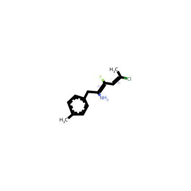 C/C(Cl)=C\C(F)=C(/N)Cc1ccc(C)cc1